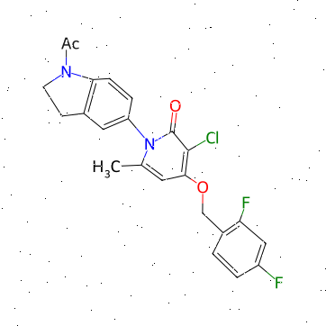 CC(=O)N1CCc2cc(-n3c(C)cc(OCc4ccc(F)cc4F)c(Cl)c3=O)ccc21